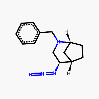 [N-]=[N+]=N[C@H]1CN(Cc2ccccc2)[C@@H]2CC[C@H]1C2